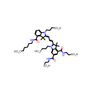 CC1(C)C(/C=C/C=C2/N(CCCS(=O)(=O)O)c3cccc(C(=O)NCCCCCC(=O)O)c3C2(C)C)=[N+](CCCS(=O)(=O)O)c2cc(C(=O)NCCS(=O)(=O)O)cc(C(=O)NCCS(=O)(=O)O)c21